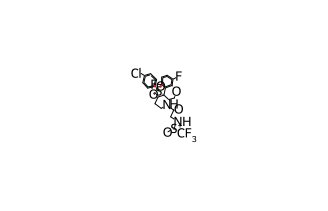 O=C(CN[S+]([O-])C(F)(F)F)N1CCC[C@@]2(S(=O)(=O)c3ccc(Cl)cc3)c3c(F)ccc(F)c3OC[C@@H]12